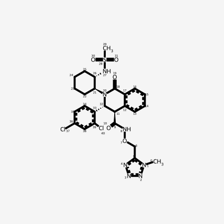 Cn1nnnc1CONC(=O)[C@@H]1c2ccccc2C(=O)N([C@H]2CCCC[C@@H]2NS(C)(=O)=O)[C@H]1c1ccc(Cl)cc1Cl